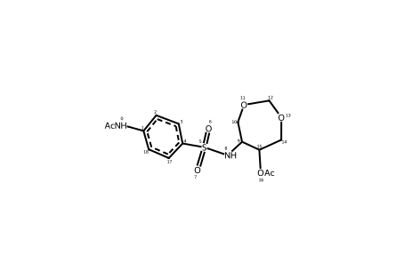 CC(=O)Nc1ccc(S(=O)(=O)NC2COCOCC2OC(C)=O)cc1